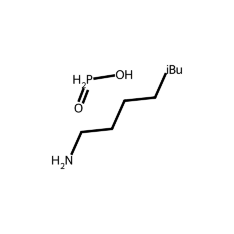 CCC(C)CCCCN.O=[PH2]O